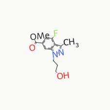 COC(=O)c1cc(F)c2c(C)nn(CCCO)c2c1